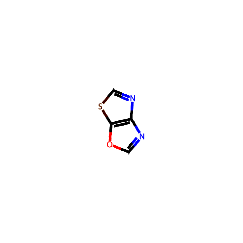 [c]1nc2n[c]sc2o1